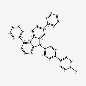 Brc1ccc(-c2ccc(-n3c4cc(-c5ccccc5)ccc4c4c(-c5ccccc5)cccc43)cc2)cc1